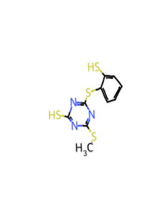 CSc1nc(S)nc(Sc2ccccc2S)n1